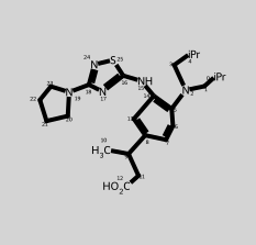 CC(C)CN(CC(C)C)c1ccc(C(C)CC(=O)O)cc1Nc1nc(N2CCCC2)ns1